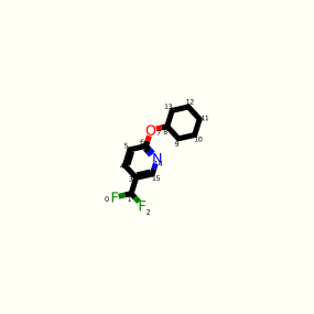 FC(F)c1ccc(OC2CCCCC2)nc1